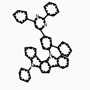 c1ccc(-c2cc(-c3ccc(-n4c5ccccc5c5ccc6c(c7ccccc7n6-c6ccccc6)c54)c(-c4ccccc4)c3)nc(-c3ccccc3)n2)cc1